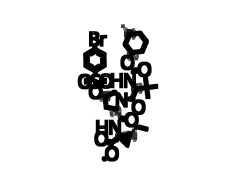 CC[C@@H]1C[C@]1(NC(=O)[C@@H]1C[C@H](OS(=O)(=O)c2ccc(Br)cc2)CN1C(=O)[C@@H](NC(=O)O[C@@H]1CCC[C@@H](C)C1)C(C)(C)C)C(=O)OC